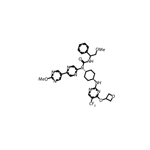 COCC(NC(=O)N(c1cnc(-c2cnc(OC)nc2)cn1)[C@H]1CC[C@H](Nc2ncc(C(F)(F)F)c(OC3COC3)n2)CC1)c1ccccc1